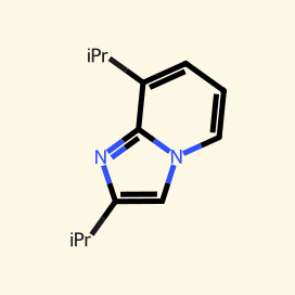 CC(C)c1cn2cccc(C(C)C)c2n1